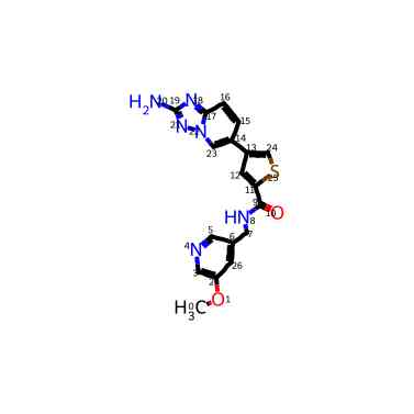 COc1cncc(CNC(=O)c2cc(-c3ccc4nc(N)nn4c3)cs2)c1